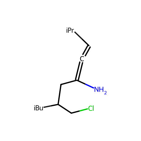 CCC(C)C(CCl)CC(N)=C=CC(C)C